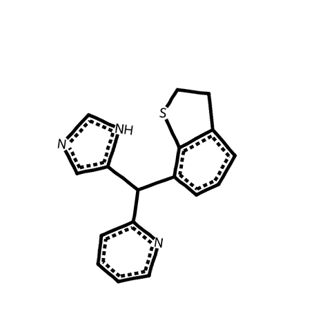 c1ccc(C(c2cnc[nH]2)c2cccc3c2SCC3)nc1